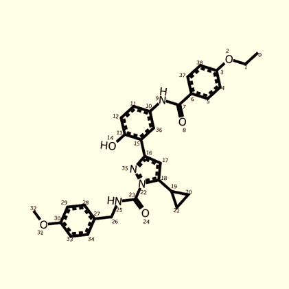 CCOc1ccc(C(=O)Nc2ccc(O)c(-c3cc(C4CC4)n(C(=O)NCc4ccc(OC)cc4)n3)c2)cc1